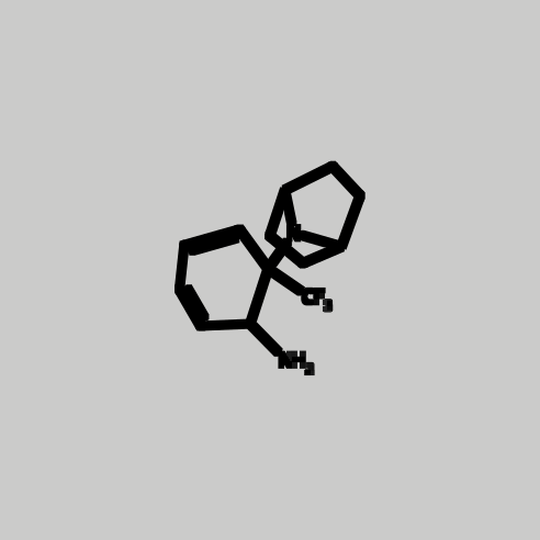 NC1C=CC=CC1(N1C2CCC1CC2)C(F)(F)F